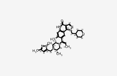 CC=C(c1cc2c(cc1C)[nH]c(=O)c1cnn(CC3CCOCC3)c12)N1CCN(Cc2cc(C)nn2C)[C@@H](C)C1